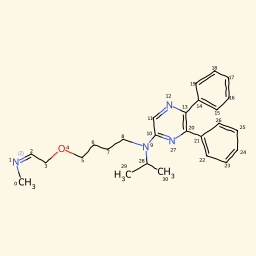 C/N=C\COCCCCN(c1cnc(-c2ccccc2)c(-c2ccccc2)n1)C(C)C